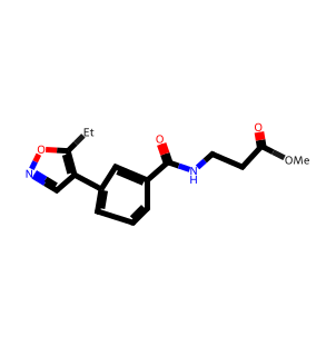 CCc1oncc1-c1cccc(C(=O)NCCC(=O)OC)c1